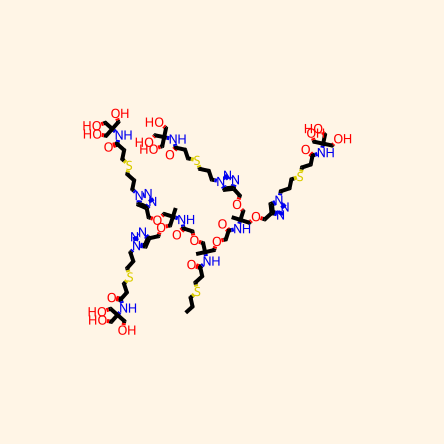 CCCSCCC(=O)NC(C)(COCC(=O)NC(C)(COCc1cn(CCCSCCC(=O)NC(CO)(CO)CO)nn1)COCc1cn(CCCSCCC(=O)NC(CO)(CO)CO)nn1)COCC(=O)NC(C)(COCc1cn(CCCSCCC(=O)NC(CO)(CO)CO)nn1)COCc1cn(CCCSCCC(=O)NC(CO)(CO)CO)nn1